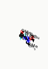 CCc1c(F)ccc2cc(OCOC)cc(-c3ncc4c(N5CCC[C@@](C)(OC)C5)nc(OCC5(CO[Si](C)(C)C(C)(C)C)CC5)nc4c3F)c12